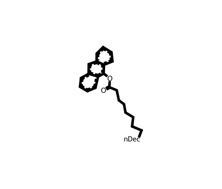 CCCCCCCCCCCCCCCCCC(=O)Oc1c2ccccc2cc2ccccc12